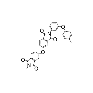 Cc1ccc(Oc2cccc(N3C(=O)c4ccc(Oc5ccc6c(c5)C(=O)N(C)C6=O)cc4C3=O)c2)cc1